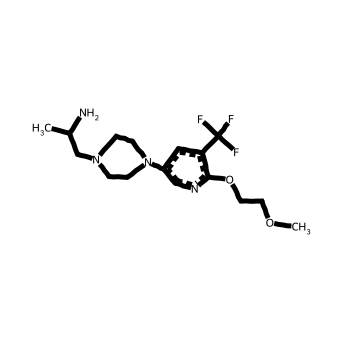 COCCOc1ncc(N2CCN(CC(C)N)CC2)cc1C(F)(F)F